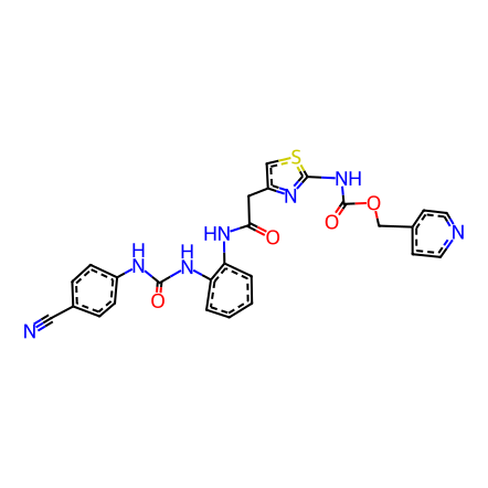 N#Cc1ccc(NC(=O)Nc2ccccc2NC(=O)Cc2csc(NC(=O)OCc3ccncc3)n2)cc1